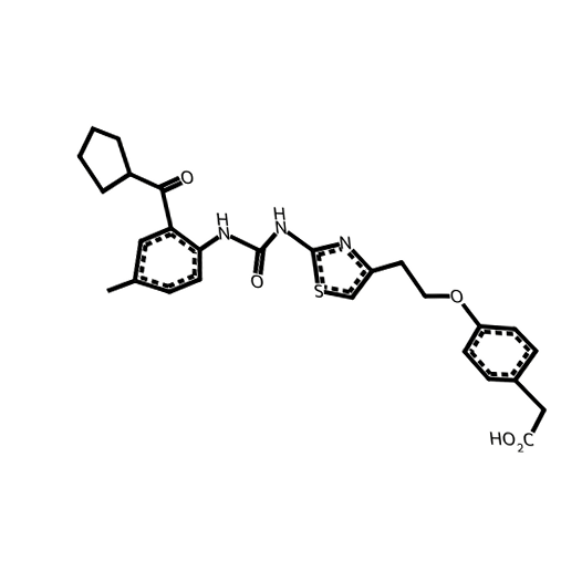 Cc1ccc(NC(=O)Nc2nc(CCOc3ccc(CC(=O)O)cc3)cs2)c(C(=O)C2CCCC2)c1